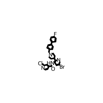 O=C(Nc1cc(Br)cnc1C1CCN(Cc2ccc(-c3ccc(F)cc3)cc2)CC1)c1ccnc(Cl)c1